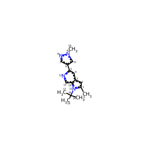 Cc1cc2cc(-c3cnn(C)c3)ncc2n1C(C)(C)C